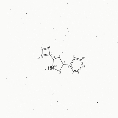 C1=CC(C2CC(c3ccccc3)CN2)=N1